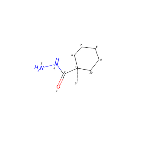 CC1(C(=O)NN)CCCCC1